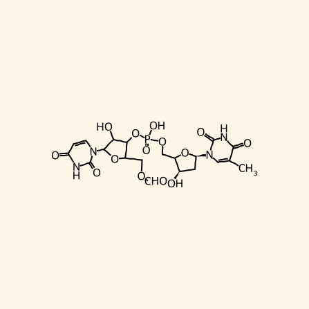 Cc1cn([C@H]2C[C@@H](O)C(COP(=O)(O)OC3C(COC=O)OC(n4ccc(=O)[nH]c4=O)C3O)O2)c(=O)[nH]c1=O